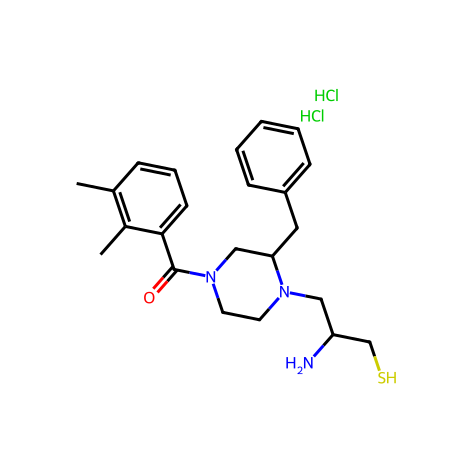 Cc1cccc(C(=O)N2CCN(CC(N)CS)C(Cc3ccccc3)C2)c1C.Cl.Cl